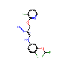 N=N/C(=C\Nc1ccc(Cl)c(OC(F)F)c1)COc1ncccc1F